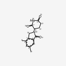 [CH2]c1cc(C)c2c(c1)C(=O)N(C1CCC(=O)NC1=O)C2